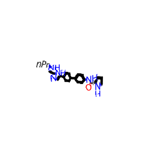 CCCNCc1ncc(-c2ccc(-c3ccc(NC(=O)[C@@H]4CCCN4)cc3)cc2)[nH]1